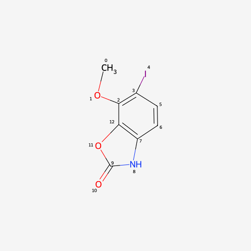 COc1c(I)ccc2[nH]c(=O)oc12